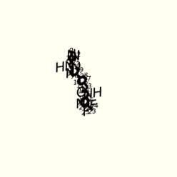 Cn1cc(Nc2ncc(-c3ccc(CC(=O)Nc4cncc(C(C)(F)F)c4)cc3)cn2)cn1